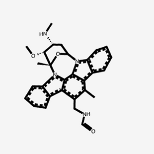 CN[C@@H]1CC2O[C@@](C)([C@@H]1OC)n1c3ccccc3c3c(CNC=O)c(C)c4c5ccccc5n2c4c31